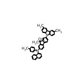 Cc1ccc(N(c2ccc3c(c2)C(C)(C)c2cc(-n4c5ccc(C)cc5c5cc(C)ccc54)ccc2-3)c2cccc3ccccc23)cc1